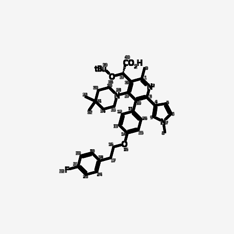 Cc1nc(-c2ccn(C)c2)c(-c2ccc(OCCc3ccc(F)cc3)cc2)c(N2CCC(C)(C)CC2)c1[C@H](OC(C)(C)C)C(=O)O